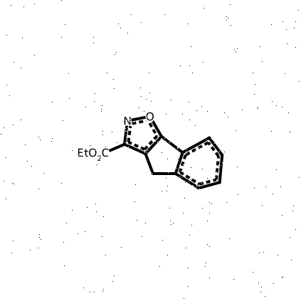 CCOC(=O)c1noc2c1Cc1ccccc1-2